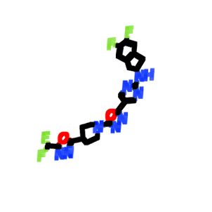 Fc1cc2c(cc1F)CC(Nc1ncc(-c3nnc(N4CCC(c5nnc(C(F)F)o5)CC4)o3)cn1)C2